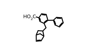 O=C(O)c1ccc(-c2ccccc2)c(CC2CC3C=CC2C3)c1